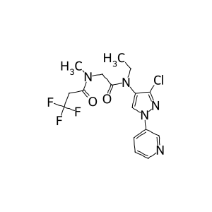 CCN(C(=O)CN(C)C(=O)CC(F)(F)F)c1cn(-c2cccnc2)nc1Cl